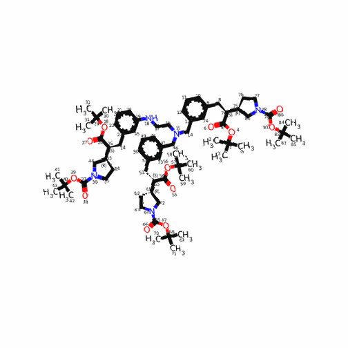 CC(C)(C)OC(=O)[C@@H](Cc1cccc(CN(CCNc2cccc(C[C@H](C(=O)OC(C)(C)C)[C@H]3CCN(C(=O)OC(C)(C)C)C3)c2)Cc2cccc(C[C@H](C(=O)OC(C)(C)C)[C@H]3CCN(C(=O)OC(C)(C)C)C3)c2)c1)[C@H]1CCN(C(=O)OC(C)(C)C)C1